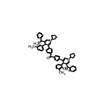 Cc1cccc(C2C(C(=O)c3ccccc3)=CN(C3CCCC3)C=C2c2ccc(C(=O)c3ccc(C4=CN(C5CCCC5)C=C(C(=O)c5ccccc5)C4c4cccc(C)c4C)cc3)cc2)c1C